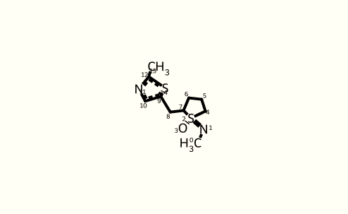 CN=S1(=O)CCCC1Cc1cnc(C)s1